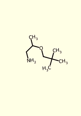 CC(CN)OCC(C)(C)C